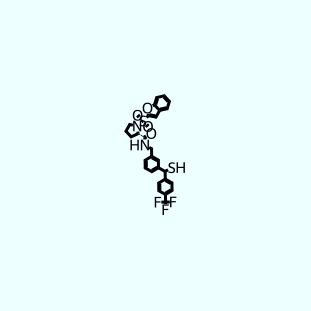 O=C(NCc1cccc(C(S)c2ccc(C(F)(F)F)cc2)c1)[C@@H]1CCCN1S(=O)(=O)c1cc2ccccc2o1